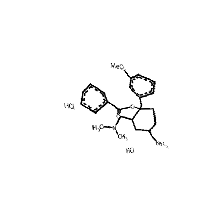 COc1cccc(C2(OC(=O)c3ccccc3)CCC(N)CC2CN(C)C)c1.Cl.Cl